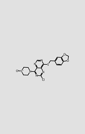 [O-][S+]1CCN(c2nc(Cl)nc3c(SCc4ccc5c(c4)OCO5)ncnc23)CC1